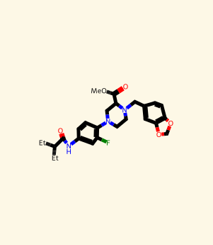 CCC(CC)C(=O)Nc1ccc(N2CCN(Cc3ccc4c(c3)OCO4)C(C(=O)OC)C2)c(F)c1